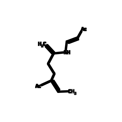 C=C(CC/C(=C\C)C(C)=O)N/C=C/C(C)=O